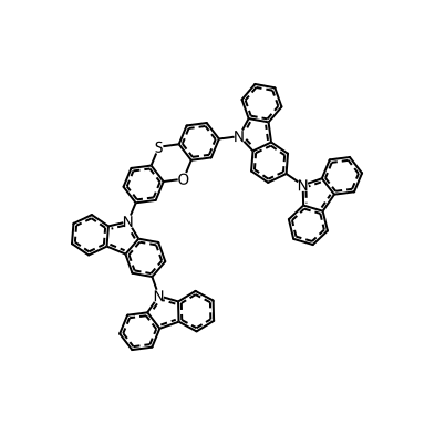 c1ccc2c(c1)c1ccccc1n2-c1ccc2c(c1)c1ccccc1n2-c1ccc2c(c1)Oc1cc(-n3c4ccccc4c4cc(-n5c6ccccc6c6ccccc65)ccc43)ccc1S2